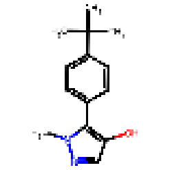 Cn1n[c]c(O)c1-c1ccc(C(C)(C)C)cc1